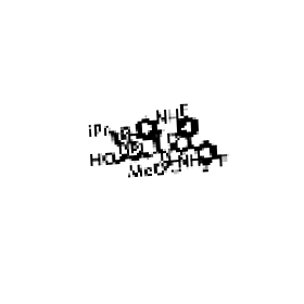 COC(=O)N(C(=O)[C@@H](N)C(c1ccc(F)cc1)c1ccc(F)cc1)[C@H](CCC[C@@H](CO)N(CCC(C)C)S(=O)(=O)c1ccc(N)cc1)C1CC1